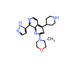 C[C@@H]1COCCN1c1cc(C2CCNCC2)c2ccnc(-c3ccn[nH]3)c2n1